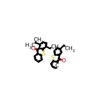 CCc1ccc(C(C)C)c2c(=O)c3ccccc3sc12.CCc1ccc2sc3ccccc3c(=O)c2c1